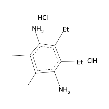 CCc1c(N)c(C)c(C)c(N)c1CC.Cl.Cl